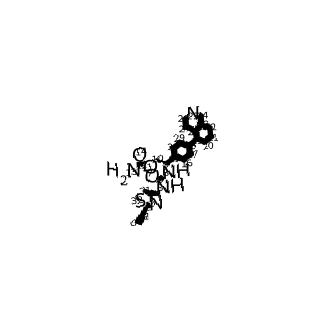 C#Cc1nc(NC(=O)N[C@@H](COC(N)=O)c2ccc(-c3cccc4cnccc34)cc2)cs1